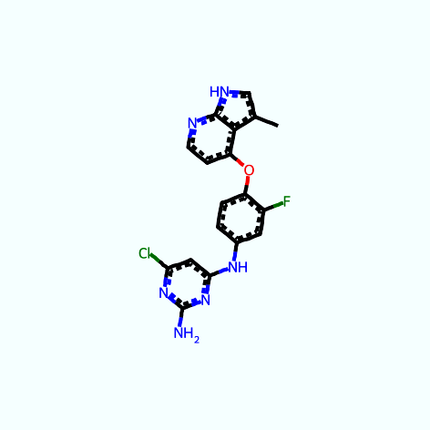 Cc1c[nH]c2nccc(Oc3ccc(Nc4cc(Cl)nc(N)n4)cc3F)c12